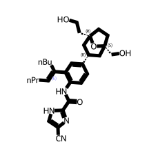 CCC/C=C(\CCCC)c1cc([C@@H]2C[C@@]3(CCO)CC[C@@](CO)(C2)O3)ccc1NC(=O)c1nc(C#N)c[nH]1